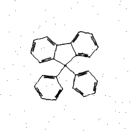 [c]1cccc(C2(c3ccccc3)c3ccccc3-c3ccccc32)c1